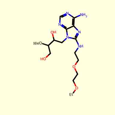 CCOCCOCCNc1nc2c(N)ncnc2n1CC(O)C(CO)OC